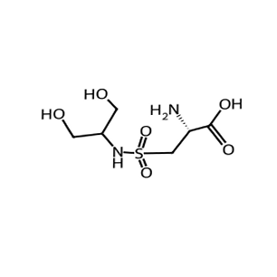 N[C@@H](CS(=O)(=O)NC(CO)CO)C(=O)O